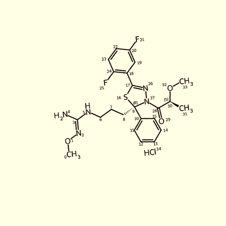 CON=C(N)NCCC[C@]1(c2ccccc2)SC(c2cc(F)ccc2F)=NN1C(=O)[C@H](C)OC.Cl